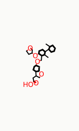 Cc1ccccc1-c1ccc(OC2CCOC2)c(COc2ccc3c(c2)OCC3CC(=O)O)c1C